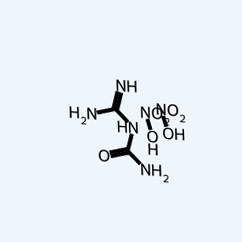 N=C(N)NC(N)=O.O=[N+]([O-])O.O=[N+]([O-])O